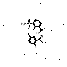 CC(=NNC(=O)c1cccc(S(N)(=O)=O)c1C)c1cc(Cl)ccc1O